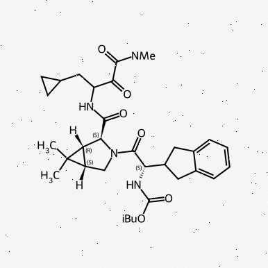 CNC(=O)C(=O)C(CC1CC1)NC(=O)[C@@H]1[C@@H]2[C@H](CN1C(=O)[C@@H](NC(=O)OCC(C)C)C1Cc3ccccc3C1)C2(C)C